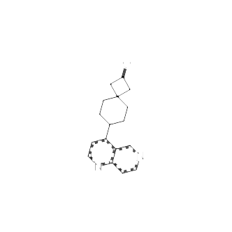 O=C1CC2(CCC(c3ccnc4ccncc34)CC2)C1